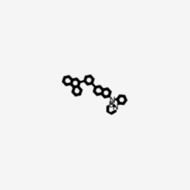 C1=CB2N(C=C1)c1ccccc1N2c1ccc2cc(-c3cccc(-c4cc5ccccc5c5ccccc45)c3)ccc2c1